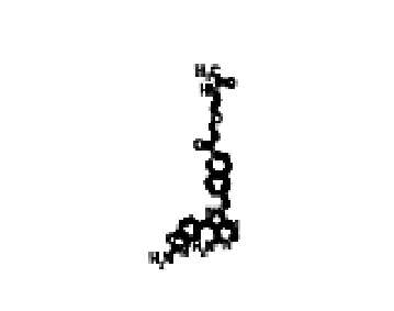 CC(=O)NCCOCCC(=O)N1CCc2cc(Cn3nc(-c4ccc5oc(N)nc5c4)c4c(N)ncnc43)ccc2C1